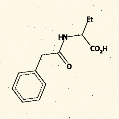 CCC(NC(=O)Cc1ccccc1)C(=O)O